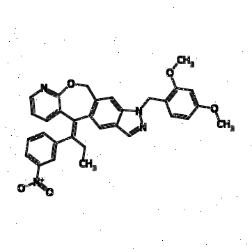 CC/C(=C1\c2cc3cnn(Cc4ccc(OC)cc4OC)c3cc2COc2ncccc21)c1cccc([N+](=O)[O-])c1